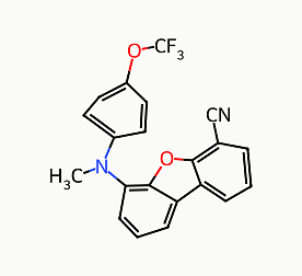 CN(c1ccc(OC(F)(F)F)cc1)c1cccc2c1oc1c(C#N)cccc12